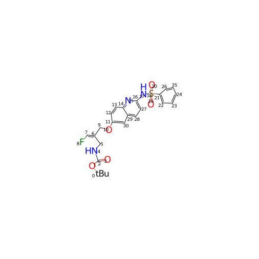 CC(C)(C)OC(=O)NC/C(=C\F)COc1ccc2nc(NS(=O)(=O)c3ccccc3)ccc2c1